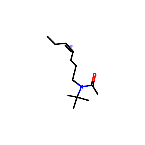 CC/C=C\CCCN(C(C)=O)C(C)(C)C